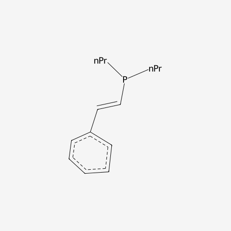 CCCP(C=Cc1ccccc1)CCC